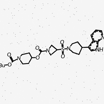 CC(C)(C)OC(=O)N1CCC(OC(=O)N2CC(S(=O)(=O)N3CCC(c4c[nH]c5ncccc45)CC3)C2)CC1